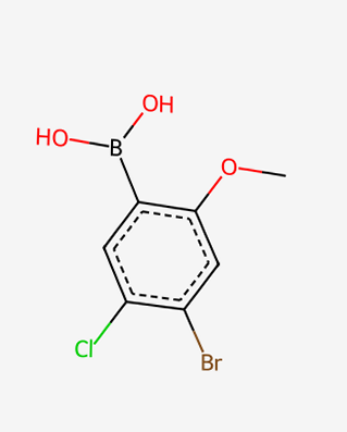 COc1cc(Br)c(Cl)cc1B(O)O